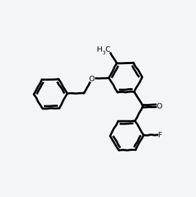 Cc1ccc(C(=O)c2ccccc2F)cc1OCc1ccccc1